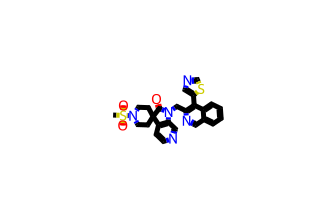 CS(=O)(=O)N1CCC2(CC1)C(=O)N(Cc1ncc3ccccc3c1-c1cncs1)c1cnccc12